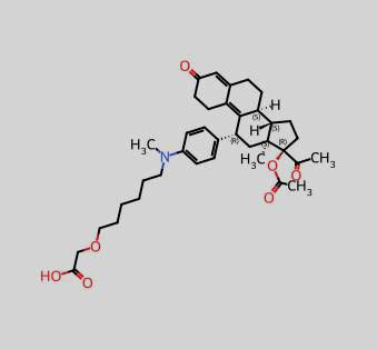 CC(=O)O[C@]1(C(C)=O)CC[C@H]2[C@@H]3CCC4=CC(=O)CCC4=C3[C@@H](c3ccc(N(C)CCCCCCOCC(=O)O)cc3)C[C@@]21C